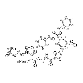 CCCCCC(C(=O)NCNC(=O)c1ccc(-c2cc(OCC)cc(P(=O)(OCc3ccccc3)OCc3ccccc3)c2)o1)C(CC)N(C=O)OCOC(=O)C(C)(C)C